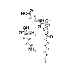 CCCCCCCCC(=O)OCC(C)(C)C(O)C(=O)NCCCC(=O)O.NCCCC[C@H](N)C(=O)O